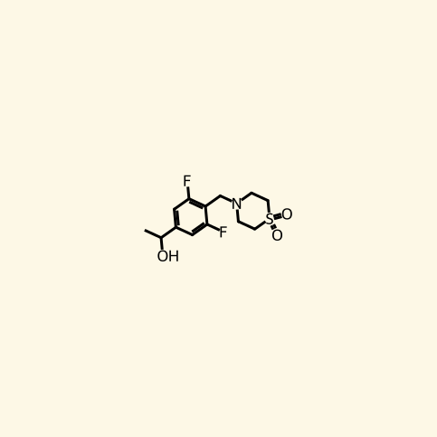 CC(O)c1cc(F)c(CN2CCS(=O)(=O)CC2)c(F)c1